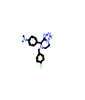 CN(C)c1ccc(C2c3nnnn3CCN2Cc2ccc(F)cc2)cc1